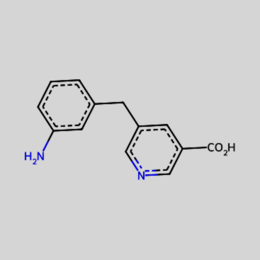 Nc1cccc(Cc2cncc(C(=O)O)c2)c1